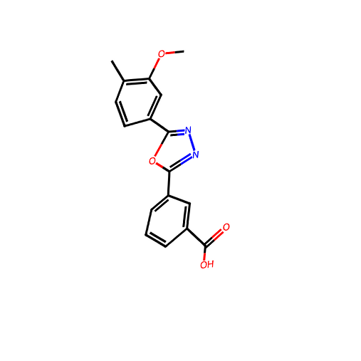 COc1cc(-c2nnc(-c3cccc(C(=O)O)c3)o2)ccc1C